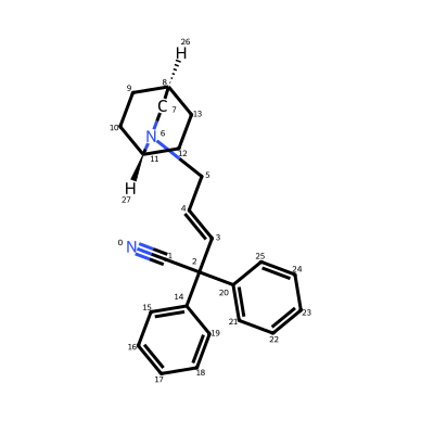 N#CC(C=CCN1C[C@H]2CC[C@H]1CC2)(c1ccccc1)c1ccccc1